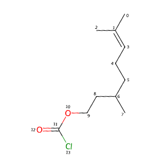 CC(C)=CCCC(C)CCOC(=O)Cl